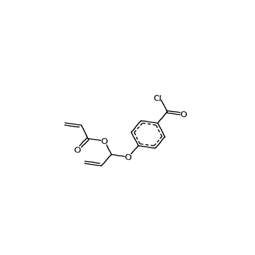 C=CC(=O)OC(C=C)Oc1ccc(C(=O)Cl)cc1